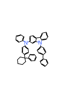 c1ccc(-c2ccc(-n3c4ccccc4c4ccc(N(c5ccccc5)c5ccc(C6(c7ccccc7)CCCCC6)cc5)cc43)cc2)cc1